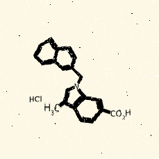 Cc1cn(Cc2ccc3ccccc3c2)c2cc(C(=O)O)ccc12.Cl